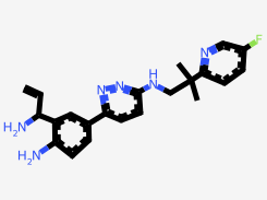 C=CC(N)c1cc(-c2ccc(NCC(C)(C)c3ccc(F)cn3)nn2)ccc1N